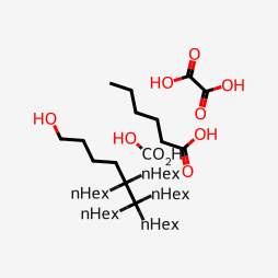 CCCCCC(=O)O.CCCCCCC(CCCCO)(CCCCCC)C(CCCCCC)(CCCCCC)CCCCCC.O=C(O)C(=O)O.O=C(O)O